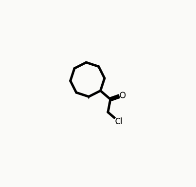 O=C(CCl)C1[CH]CCCCCC1